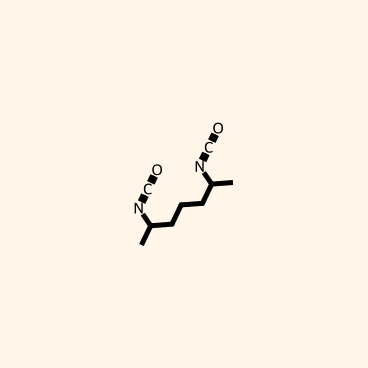 CC(CCCC(C)N=C=O)N=C=O